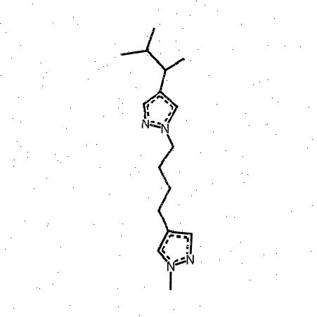 CC(C)C(C)c1cnn(CCCCc2cnn(C)c2)c1